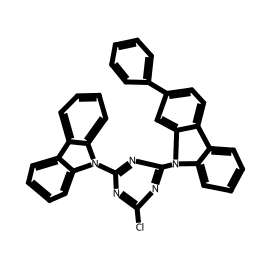 Clc1nc(-n2c3ccccc3c3ccccc32)nc(-n2c3ccccc3c3ccc(-c4ccccc4)cc32)n1